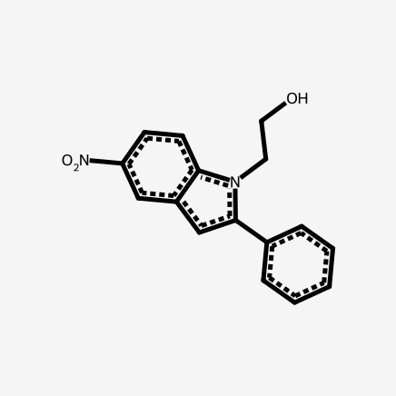 O=[N+]([O-])c1ccc2c(c1)cc(-c1ccccc1)n2CCO